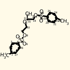 Cc1ccc(S(=O)(=O)OCCO[C@@H](C)COS(=O)(=O)c2ccc(C)cc2)cc1